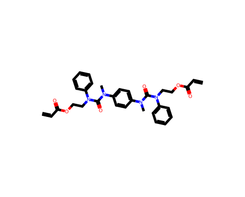 C=CC(=O)OCCN(C(=O)N(C)c1ccc(N(C)C(=O)N(CCOC(=O)C=C)c2ccccc2)cc1)c1ccccc1